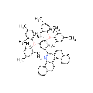 Cc1cc(C)c(B(c2cc(B(c3c(C)cc(C)cc3C)c3c(C)cc(C)cc3C)cc(-c3nc4c5ccccc5ccc4c4c3ccc3ccccc34)c2)c2c(C)cc(C)cc2C)c(C)c1